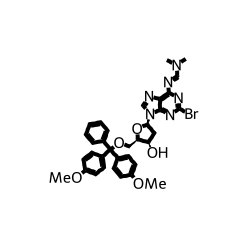 COc1ccc(C(OC[C@H]2O[C@@H](n3cnc4c(/N=C/N(C)C)nc(Br)nc43)C[C@@H]2O)(c2ccccc2)c2ccc(OC)cc2)cc1